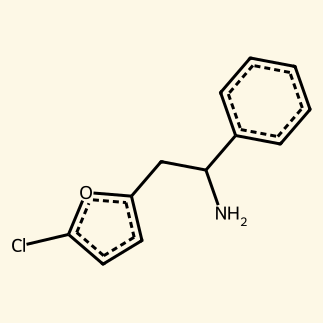 NC(Cc1ccc(Cl)o1)c1ccccc1